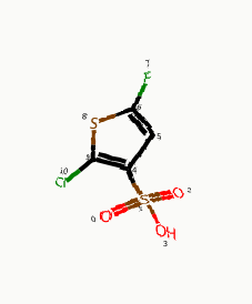 O=S(=O)(O)c1cc(F)sc1Cl